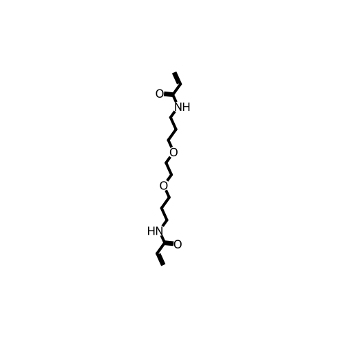 C=CC(=O)NCCCOCCOCCCNC(=O)C=C